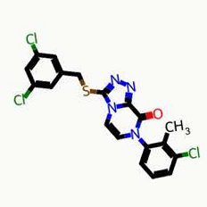 Cc1c(Cl)cccc1-n1ccn2c(SCc3cc(Cl)cc(Cl)c3)nnc2c1=O